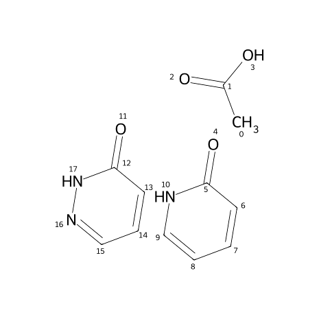 CC(=O)O.O=c1cccc[nH]1.O=c1cccn[nH]1